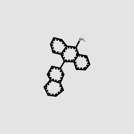 Bc1c2ccccc2c(-c2ccc3ccccc3c2)c2ccccc12